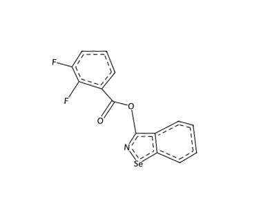 O=C(Oc1n[se]c2ccccc12)c1cccc(F)c1F